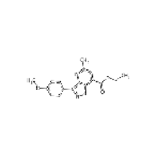 CCOC(=O)c1cc(C)nc2c1cnn2-c1ccc(OC)cc1